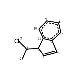 CC(Cl)C1[C]=Cc2ccccc21